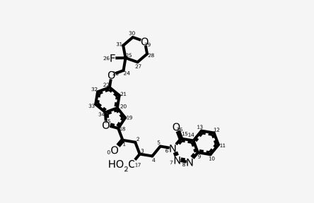 O=C(CC(CCn1nnc2ccccc2c1=O)C(=O)O)c1cc2cc(OCC3(F)CCOCC3)ccc2o1